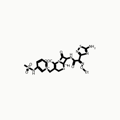 CCO/N=C(\C(=O)NC1C(=O)N2C(C(=O)[O-])=C(C[n+]3cccc(NS(C)(=O)=O)c3)CS[C@H]12)c1nsc(N)n1